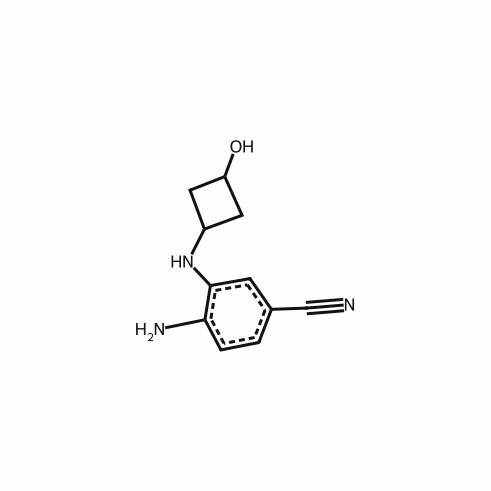 N#Cc1ccc(N)c(NC2CC(O)C2)c1